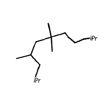 CC(C)CCC(C)(C)CC(C)CC(C)C